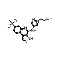 CS(=O)(=O)c1ccc2c(c1)nc(Nc1cnn(CCO)c1)c1[nH]ncc12